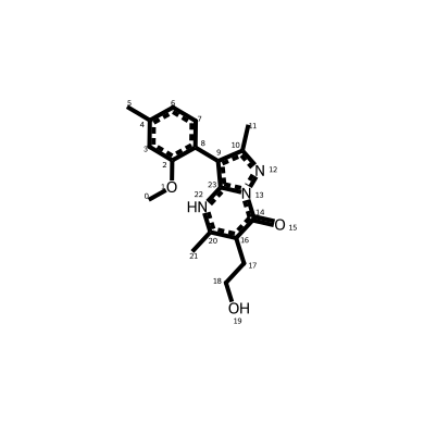 COc1cc(C)ccc1-c1c(C)nn2c(=O)c(CCO)c(C)[nH]c12